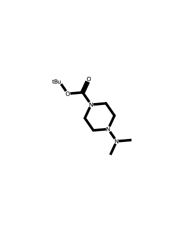 CN(C)N1CCN(C(=O)OC(C)(C)C)CC1